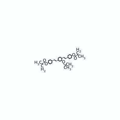 C=C(C)COc1cc(/C=C/c2ccc(OC(=O)C(=C)C)cc2)ccc1/C=C/c1ccc(OC(=O)C(=C)C)cc1